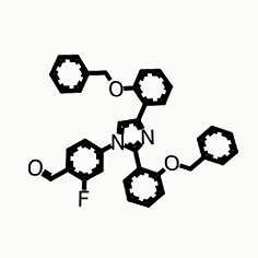 O=Cc1ccc(-n2cc(-c3ccccc3OCc3ccccc3)nc2-c2ccccc2OCc2ccccc2)cc1F